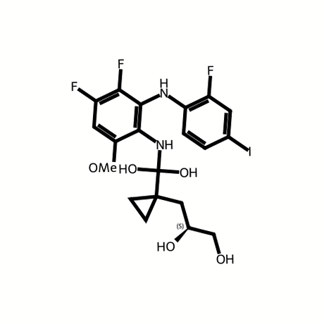 COc1cc(F)c(F)c(Nc2ccc(I)cc2F)c1NC(O)(O)C1(C[C@H](O)CO)CC1